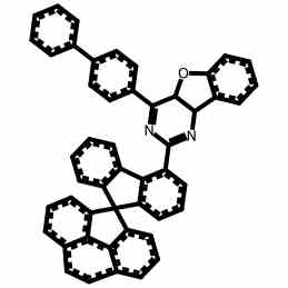 c1ccc(-c2ccc(C3=NC(c4cccc5c4-c4ccccc4C54c5cccc6ccc7cccc4c7c56)=NC4c5ccccc5OC34)cc2)cc1